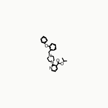 CC(C)OC(=O)c1cccnc1N1CCN(Cc2ccccc2Oc2ccccc2)CC1